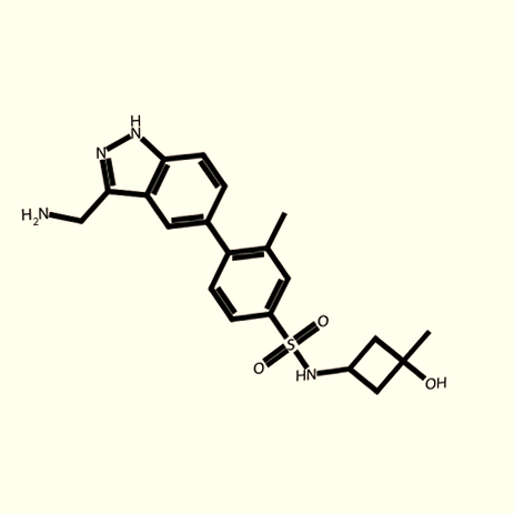 Cc1cc(S(=O)(=O)NC2CC(C)(O)C2)ccc1-c1ccc2[nH]nc(CN)c2c1